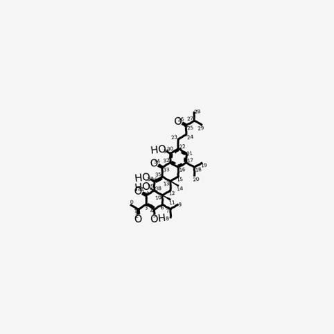 CC(=O)C1=C(O)C(C(C)C)[C@@]2(C)C[C@@]3(C)Cc4c(C(C)C)cc(CCC(=O)C(C)C)c(O)c4C(=O)C3=C(O)[C@@]2(O)C1=O